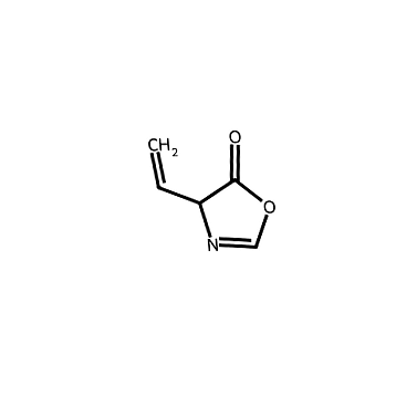 C=CC1N=COC1=O